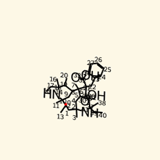 CCC1(C)CC(C(C)(C2CC(C)(CC)NC(C)(CC)C2C)C(Cc2ccccc2)(C(=O)O)C(=O)O)C(C)C(C)(CC)N1